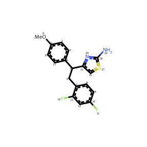 COc1ccc(C(Cc2ccc(F)cc2F)c2csc(N)n2)cc1